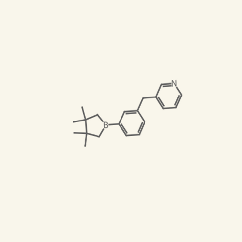 CC1(C)CB(c2cccc(Cc3cccnc3)c2)CC1(C)C